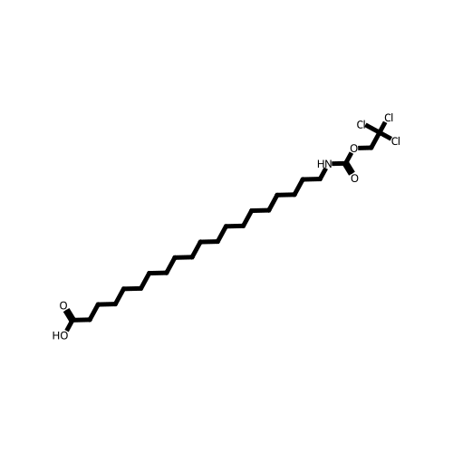 O=C(O)CCCCCCCCCCCCCCCCCCCNC(=O)OCC(Cl)(Cl)Cl